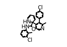 Cc1nccc(C2(C(=O)Nc3cccc(Cl)c3C)C=CC=CN2)c1-c1ccc(Cl)cc1